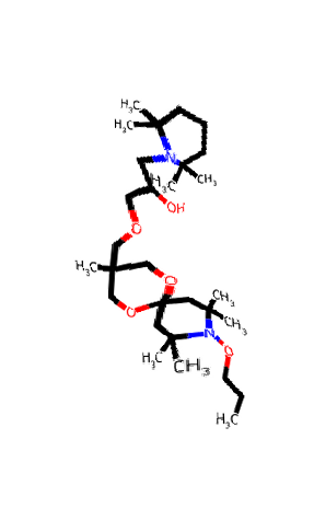 CCCON1C(C)(C)CC2(CC1(C)C)OCC(C)(COCC(O)CN1C(C)(C)CCCC1(C)C)CO2